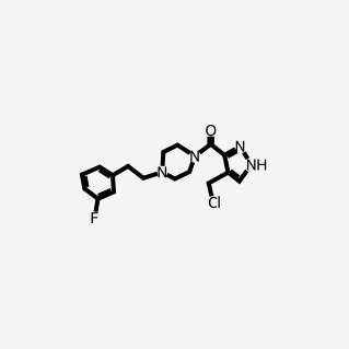 O=C(c1n[nH]cc1CCl)N1CCN(CCc2cccc(F)c2)CC1